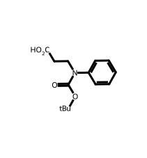 CC(C)(C)OC(=O)N(CCC(=O)O)c1ccccc1